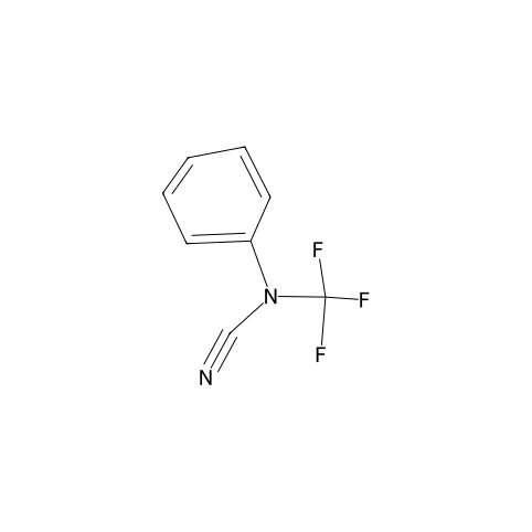 N#CN(c1ccccc1)C(F)(F)F